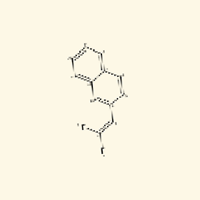 FC(F)=Cc1c[c]c2ccccc2c1